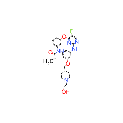 C=CC(=O)Nc1cccc(Oc2nc(Nc3cccc(OCC4CCN(CCO)CC4)c3)ncc2F)c1